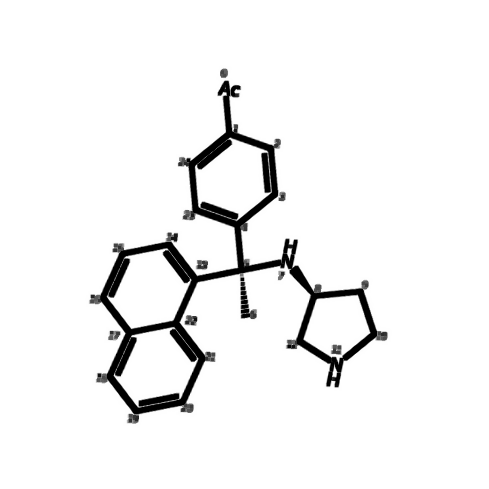 CC(=O)c1ccc([C@@](C)(N[C@H]2CCNC2)c2cccc3ccccc23)cc1